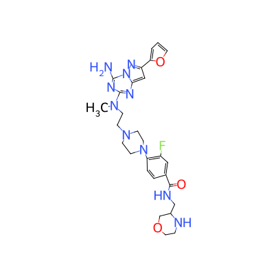 CN(CCN1CCN(c2ccc(C(=O)NCC3COCCN3)cc2F)CC1)c1nc(N)n2nc(-c3ccco3)cc2n1